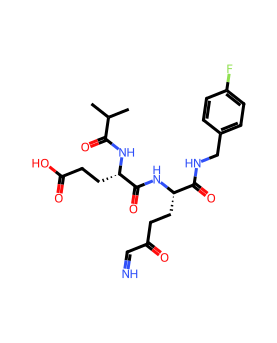 CC(C)C(=O)N[C@@H](CCC(=O)O)C(=O)N[C@@H](CCC(=O)C=N)C(=O)NCc1ccc(F)cc1